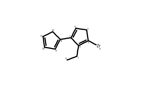 CCC1=[C]([Zr])CC=C1C1=CC=CC1